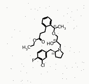 CCOC(=O)CCc1ccccc1[C@@H](C)OC[C@H](O)CN1CCC[C@H]1Cc1ccc(F)c(Cl)c1